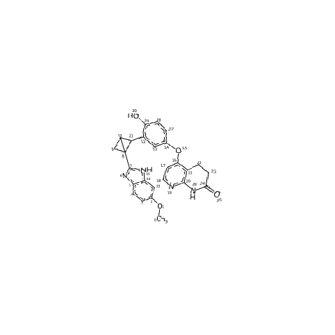 COc1ccc2nc(C34CC3C4c3cc(Oc4ccnc5c4CCC(=O)N5)ccc3O)[nH]c2c1